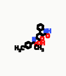 COC(/N=C(/Cc1cc(=O)[nH]c2ccccc12)C(=O)O)c1ccc(C)cc1